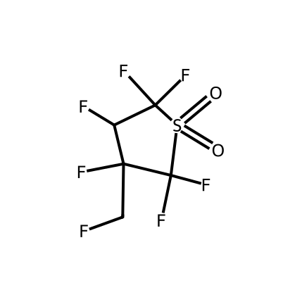 O=S1(=O)C(F)(F)C(F)C(F)(CF)C1(F)F